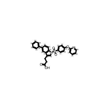 O=C(O)CCc1cn(S(=O)(=O)c2ccc(Oc3ccccn3)cc2)c2ccc(-c3ccccc3)cc12